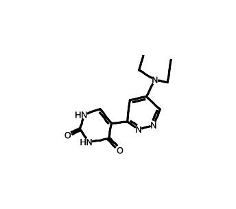 CCN(CC)c1cnnc(-c2c[nH]c(=O)[nH]c2=O)c1